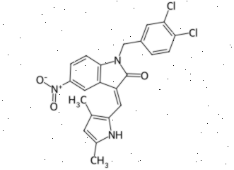 Cc1cc(C)c(C=C2C(=O)N(Cc3ccc(Cl)c(Cl)c3)c3ccc([N+](=O)[O-])cc32)[nH]1